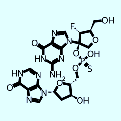 Nc1nc2c(ncn2[C@@]2(OP(O)(=S)OC[C@H]3O[C@@H](n4cnc5c(=O)[nH]cnc54)C[C@@H]3O)CO[C@H](CO)[C@H]2F)c(=O)[nH]1